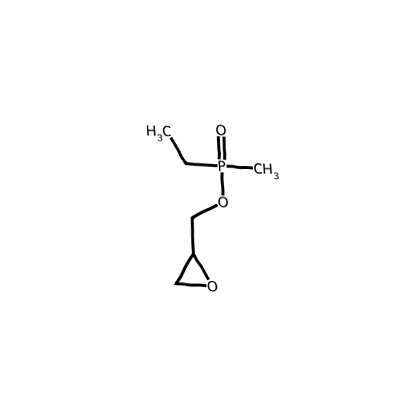 CCP(C)(=O)OCC1CO1